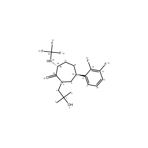 CC(C)(O)CN1C[C@H](c2cccc(F)c2F)CC[C@@H](NC(F)(F)F)C1=O